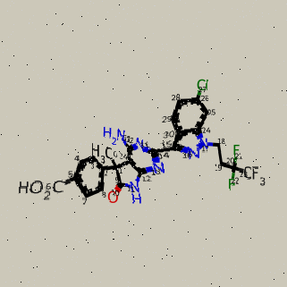 CC1(c2ccc(C(=O)O)cc2)C(=O)Nc2nc(-c3nn(CCC(F)(F)C(F)(F)F)c4cc(Cl)ccc34)nc(N)c21